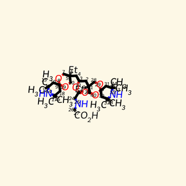 CCC1(CC(CC2(CC)COC3(CC(C)(C)NC(C)(C)C3)OC2)OC(=O)CNCC(=O)O)COC2(CC(C)(C)NC(C)(C)C2)OC1